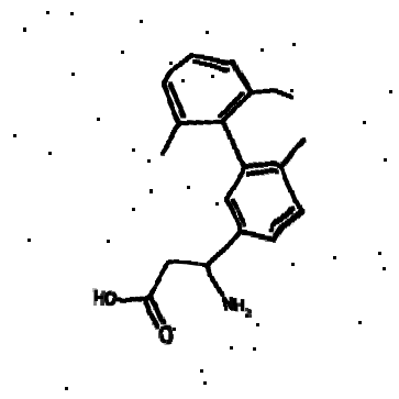 Cc1ccc(C(N)CC(=O)O)cc1-c1c(C)cccc1C